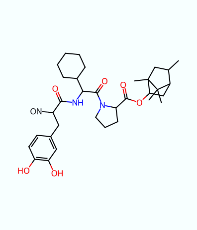 CC1CC2(C)C(OC(=O)C3CCCN3C(=O)C(NC(=O)C(Cc3ccc(O)c(O)c3)N=O)C3CCCCC3)CC1C2(C)C